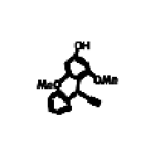 C#CC(c1ccccc1)c1c(OC)cc(O)cc1OC